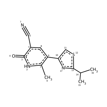 Cc1[nH]c(=O)c(C#N)cc1-c1csc(C(C)C)n1